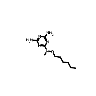 CCCCCCON(C)c1nc(N)nc(N)n1